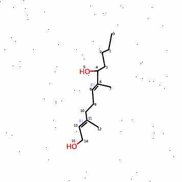 CCCCC(O)/C(C)=C/CC/C(C)=C/CO